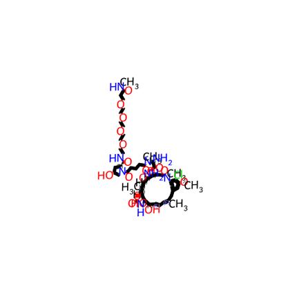 CNC(=O)CCOCCOCCOCCOCCNC(=O)[C@H]1CC(O)CN1C(=O)CCCC(=O)N(C)[C@@H](N)C(=O)O[C@H]1CC(=O)N(C)c2cc(cc(OC)c2Cl)C/C(C)=C/C=C/[C@@H](O)[C@@]2(O)C[C@H](OC(=O)N2)[C@@H](C)[C@@H]2O[C@@]12N